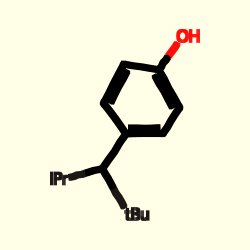 CC(C)C(c1ccc(O)cc1)C(C)(C)C